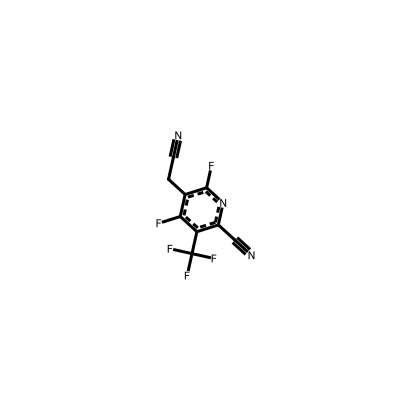 N#CCc1c(F)nc(C#N)c(C(F)(F)F)c1F